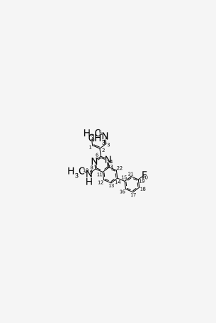 C/C=C(\C=N/C)c1nc(NC)c2ccc(-c3cccc(F)c3)cc2n1